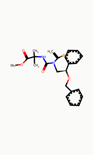 C=C(S)N(C[C@H](OCc1ccccc1)c1ccccc1)C(=O)NC(C)(C)C(=O)OC(C)(C)C